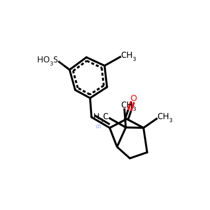 Cc1cc(/C=C2\C(=O)C3(C)CCC2C3(C)C)cc(S(=O)(=O)O)c1